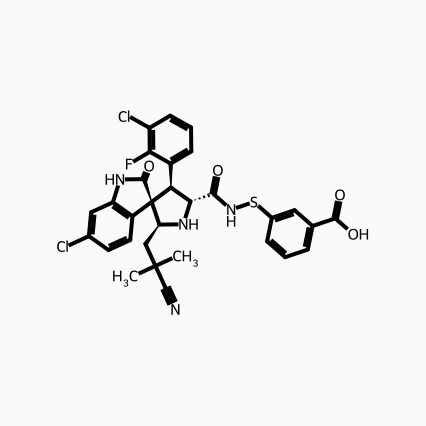 CC(C)(C#N)C[C@@H]1N[C@@H](C(=O)NSc2cccc(C(=O)O)c2)[C@H](c2cccc(Cl)c2F)[C@]12C(=O)Nc1cc(Cl)ccc12